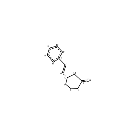 O=C1CCC[C@H](/C=C/c2ccccc2)C1